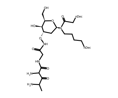 CCCCCCCCCCCCCCN(C(=O)CCCCCCCCCCC)[C@H]1C[C@H](ONC(=O)CNC(=O)C(N)C(=O)C(C)N)[C@@H](O)[C@@H](CO)O1